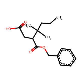 CCCC(C)(C)C(CC(=O)O)C(=O)OCc1ccccc1